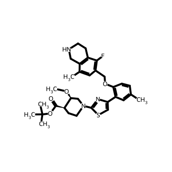 CO[C@H]1CN(c2nc(-c3cc(C)ccc3OCc3cc(C)c4c(c3F)CCNC4)cs2)CC[C@H]1C(=O)OC(C)(C)C